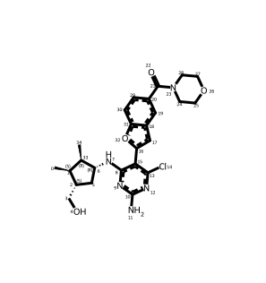 C[C@@H]1[C@@H](CO)C[C@@H](Nc2nc(N)nc(Cl)c2-c2cc3cc(C(=O)N4CCOCC4)ccc3o2)[C@@H]1C